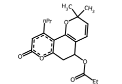 CCCc1cc(=O)oc2c1C1=C(C=CC(C)(C)O1)C(OC(=O)CC)C2